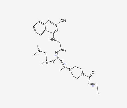 C=C(CNc1cc(O)cc2ccccc12)/N=C(\N=C(/C)N1CCN(C(=O)/C=C/C)CC1)O[C@H](C)CN(C)C